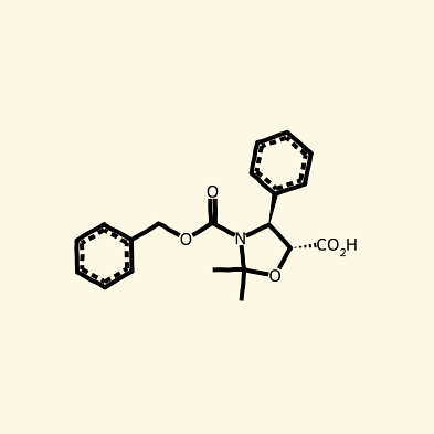 CC1(C)O[C@@H](C(=O)O)[C@H](c2ccccc2)N1C(=O)OCc1ccccc1